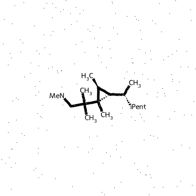 CCCC(C)[C@@H](C)[C@H]1[C@H](C)C1(C)C(C)(C)CNC